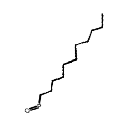 CCCCCCCCCCCP=O